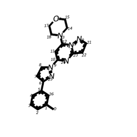 Cc1cccc(-c2ccn(-c3cc(N4CCOCC4)n4nccc4n3)n2)c1